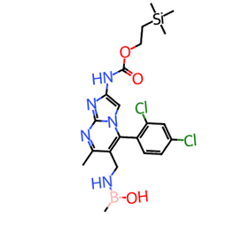 CB(O)NCc1c(C)nc2nc(NC(=O)OCC[Si](C)(C)C)cn2c1-c1ccc(Cl)cc1Cl